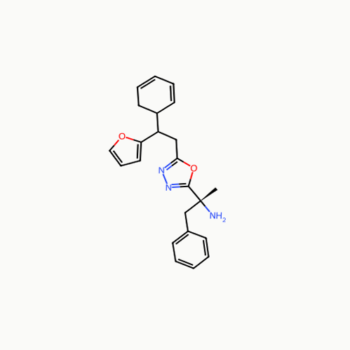 C[C@@](N)(Cc1ccccc1)c1nnc(CC(c2ccco2)C2C=CC=CC2)o1